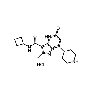 Cc1nn2c(C3CCNCC3)cc(=O)[nH]c2c1C(=O)NC1CCC1.Cl